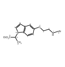 CCCNCCOc1ccc2c(ccn2C(C)C(=O)OCC)c1